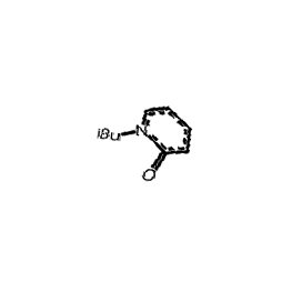 CCC(C)n1ccccc1=O